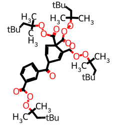 CC(C)(C)CC(C)(C)OOC(=O)C1=CC(C(=O)c2cccc(C(=O)OOC(C)(C)CC(C)(C)C)c2)C=CC1(C(=O)OOC(C)(C)CC(C)(C)C)C(=O)OOC(C)(C)CC(C)(C)C